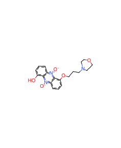 [O-][n+]1c2cccc(OCCCN3CCOCC3)c2[n+]([O-])c2cccc(O)c21